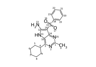 Cc1nc(C2CCCCC2)c2[nH]c(N)c(S(=O)(=O)c3ccccc3)c2n1